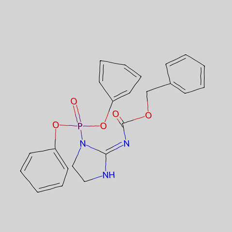 O=C(/N=C1/NCCN1P(=O)(Oc1ccccc1)Oc1ccccc1)OCc1ccccc1